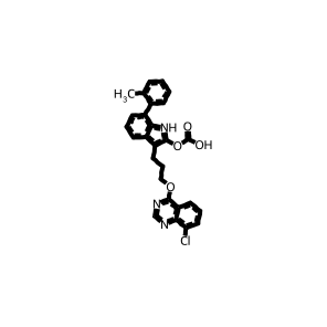 Cc1ccccc1-c1cccc2c(CCCOc3ncnc4c(Cl)cccc34)c(OC(=O)O)[nH]c12